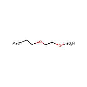 COCCOCCOS(=O)(=O)O